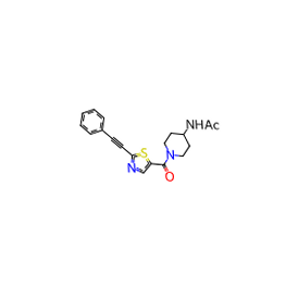 CC(=O)NC1CCN(C(=O)c2cnc(C#Cc3ccccc3)s2)CC1